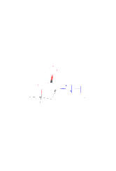 CC1(C)C[C@H](N)C(=O)O1